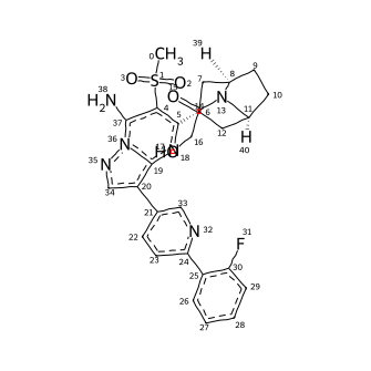 CS(=O)(=O)c1c([C@@H]2C[C@H]3CC[C@@H](C2)N3C(=O)CO)nc2c(-c3ccc(-c4ccccc4F)nc3)cnn2c1N